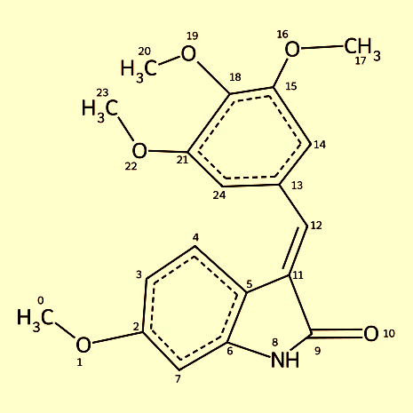 COc1ccc2c(c1)NC(=O)/C2=C/c1cc(OC)c(OC)c(OC)c1